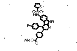 COC(=O)c1ccc(-c2cnc3[nH]c4ccc(NS(=O)(=O)c5cccs5)cc4c3c2-c2ccc(F)cc2)cc1